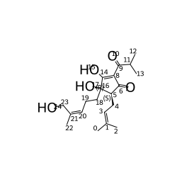 CC(C)=CC[C@@H]1C(=O)C(C(=O)C(C)C)=C(O)[C@@]1(O)CCC=C(C)CO